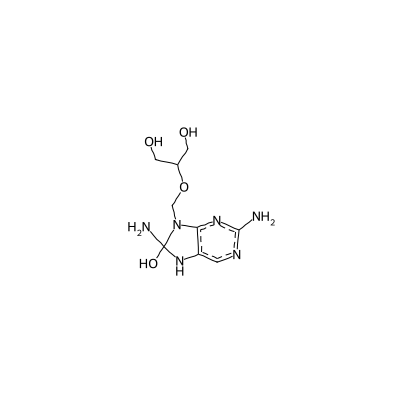 Nc1ncc2c(n1)N(COC(CO)CO)C(N)(O)N2